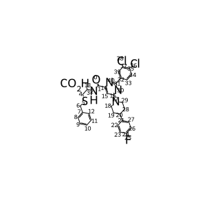 O=C(NC(CSCc1ccccc1)C(=O)O)c1cc(N2CCC(c3ccc(F)cc3)CC2)nc(-c2ccc(Cl)c(Cl)c2)n1